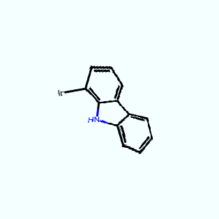 [Ir][c]1cccc2c1[nH]c1ccccc12